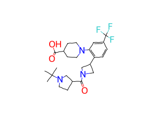 CC(C)(C)N1CCC(C(=O)N2CC(c3ccc(C(F)(F)F)cc3N3CCC(C(=O)O)CC3)C2)C1